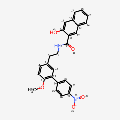 COc1ccc(CCNC(=O)c2cc3ccccc3cc2O)cc1-c1ccc([N+](=O)[O-])cc1